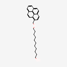 OCCCCCCCCCCCOCc1ccc2ccc3cccc4ccc1c2c34